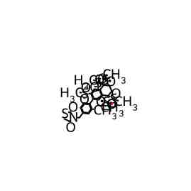 Cc1cc(CN2C(=O)CSC2=O)ccc1-c1cc2c(cc1S(C)(=O)=O)C(S(C)(=O)=O)(S(C)(=O)=O)CCC2(S(C)(=O)=O)S(C)(=O)=O